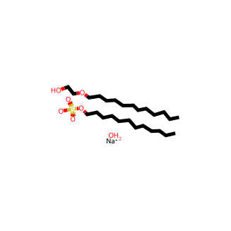 CCCCCCCCCCCCOCCO.CCCCCCCCCCCCOS(=O)(=O)[O-].O.[Na+]